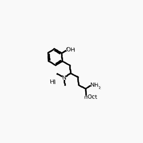 CCCCCCCCC(N)CCC(Cc1ccccc1O)N(C)C.I